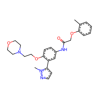 Cc1ccccc1OCC(=O)Nc1ccc(OCCN2CCOCC2)c(-c2ccnn2C)c1